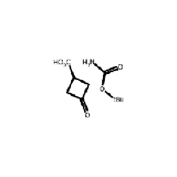 CC(C)(C)OC(N)=O.O=C1CC(C(=O)O)C1